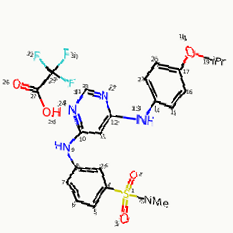 CNS(=O)(=O)c1cccc(Nc2cc(Nc3ccc(OC(C)C)cc3)ncn2)c1.O=C(O)C(F)(F)F